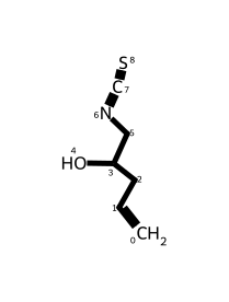 C=CCC(O)CN=C=S